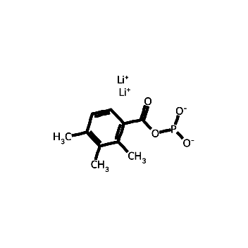 Cc1ccc(C(=O)OP([O-])[O-])c(C)c1C.[Li+].[Li+]